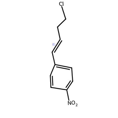 O=[N+]([O-])c1ccc(/C=C/CCCl)cc1